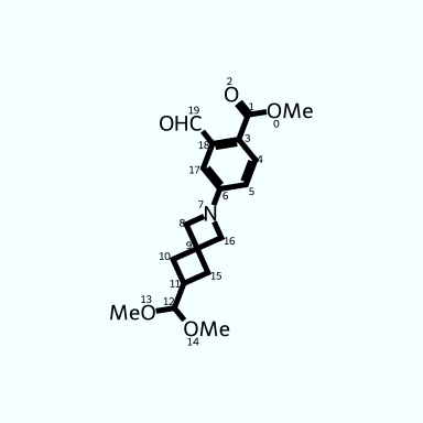 COC(=O)c1ccc(N2CC3(CC(C(OC)OC)C3)C2)cc1C=O